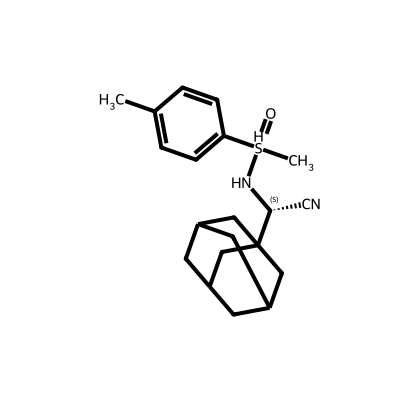 Cc1ccc([SH](C)(=O)N[C@H](C#N)C23CC4CC(CC(C4)C2)C3)cc1